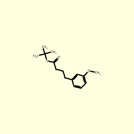 COc1cccc(CCCC(=O)OC(C)(C)C)c1